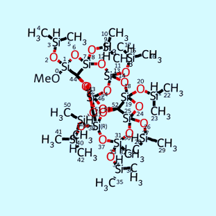 CO[Si]1(O[SiH](C)C)O[Si]2(O[SiH](C)C)O[Si]3(O[SiH](C)C)O[Si]4(O[SiH](C)C)O[Si]5(O[SiH](C)C)O[Si](C)(O[SiH](C)C)O[Si@]6(O[SiH](C)C)OC12O[Si@@](O[SiH](C)C)(OC54O6)O3